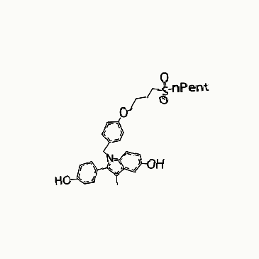 CCCCCS(=O)(=O)CCCCOc1ccc(Cn2c(-c3ccc(O)cc3)c(C)c3cc(O)ccc32)cc1